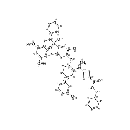 COc1ccc(CN(c2ccncn2)S(=O)(=O)c2cc(Cl)c(O[C@H]3CC[C@H](c4cccc(C(F)(F)F)c4)C[C@@H]3N(C)C3CN(C(=O)OCc4ccccc4)C3)cc2F)c(OC)c1